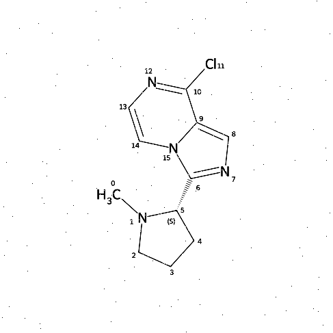 CN1CCC[C@H]1c1ncc2c(Cl)nccn12